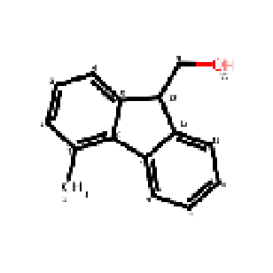 Cc1cccc2c1-c1ccccc1C2CO